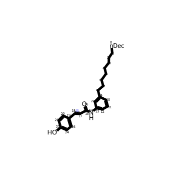 CCCCCCCCCCCCCCCCCCc1cccc(NC(=O)/C=C/c2ccc(O)cc2)c1